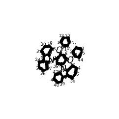 c1ccc(Oc2cc(Oc3ccccc3)c(-n3c4ccccc4c4ccccc43)cc2-n2c3ccccc3c3ccccc32)cc1